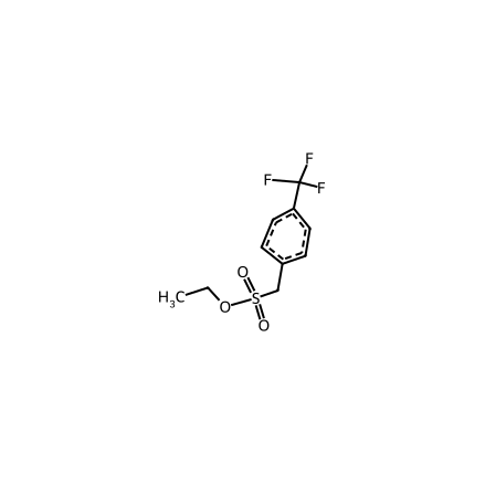 CCOS(=O)(=O)Cc1ccc(C(F)(F)F)cc1